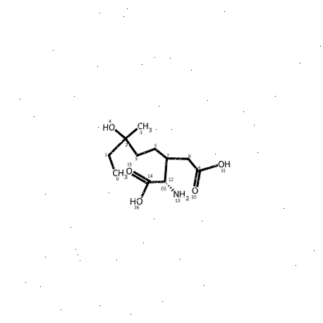 CCC(C)(O)CCC(CC(=O)O)[C@H](N)C(=O)O